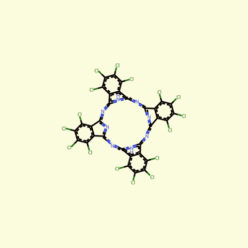 Clc1c(Cl)c(Cl)c2c(c1Cl)-c1nc-2nc2[nH]c(nc3nc(nc4[nH]c(n1)c1c(Cl)c(Cl)c(Cl)c(Cl)c41)-c1c(Cl)c(Cl)c(Cl)c(Cl)c1-3)c1c(Cl)c(Cl)c(Cl)c(Cl)c21